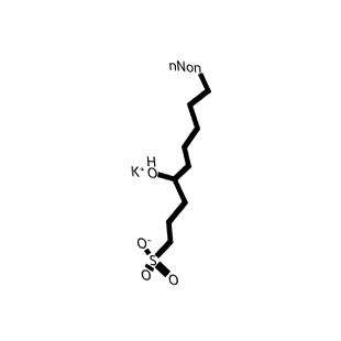 CCCCCCCCCCCCCCC(O)CCCS(=O)(=O)[O-].[K+]